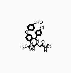 CCNC(=O)C[C@@H]1N=C(c2ccc(Cl)cc2)c2cc(Oc3ccc(C=O)cc3)ccc2-n2c(C)nnc21